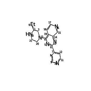 CC[C@H]1CN(c2nc(-c3ccncc3)nc3cnccc23)CCN1